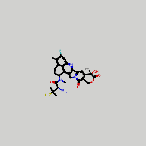 CC[C@@]1(O)C(=O)OCc2c1cc1n(c2=O)Cc2c-1nc1cc(F)c(C)c3c1c2[C@@H](N(C)C(=O)[C@@H](N)C(C)(C)S)CC3